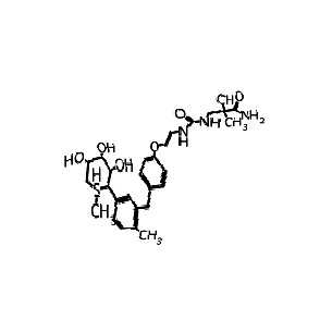 Cc1ccc(C2[C@H](O)[C@H](O)[C@H](O)C[SH]2C)cc1Cc1ccc(OCCNC(=O)NCC(C)(C)C(N)=O)cc1